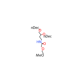 CCCCCCCCCCOCC(CCNC(=O)COCCOC)OCCCCCCCCCC